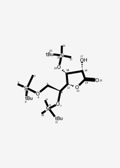 CC(C)(C)[Si](C)(C)OC[C@H](O[Si](C)(C)C(C)(C)C)[C@H]1OC(=O)[C@@H](O)[C@H]1O[Si](C)(C)C(C)(C)C